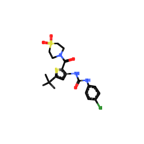 CC(C)(C)c1cc(NC(=O)Nc2ccc(Cl)cc2)c(C(=O)N2CCS(=O)(=O)CC2)s1